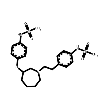 CS(=O)(=O)Nc1ccc(CCN2CCCCC(Oc3ccc(NS(C)(=O)=O)cc3)C2)cc1